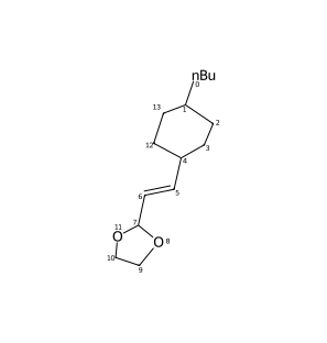 CCCCC1CCC(/C=C/C2OCCO2)CC1